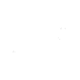 CCCCCCCCCCCCCCCCC(N)CCCCC